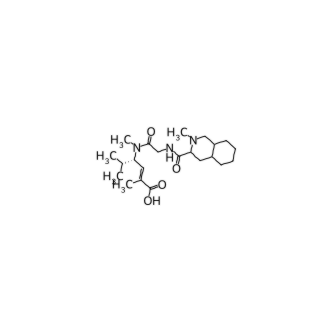 C/C(=C\[C@H](C(C)C)N(C)C(=O)CNC(=O)C1CC2CCCCC2CN1C)C(=O)O